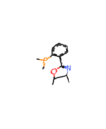 CC1N=C(c2ccccc2P(C)C)OC1C